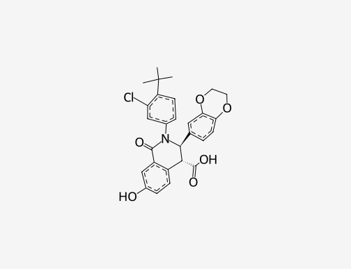 CC(C)(C)c1ccc(N2C(=O)c3cc(O)ccc3[C@@H](C(=O)O)[C@@H]2c2ccc3c(c2)OCCO3)cc1Cl